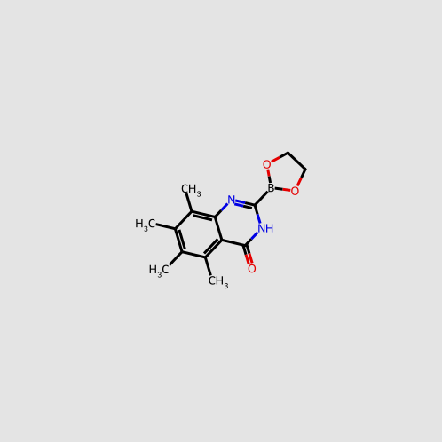 Cc1c(C)c(C)c2c(=O)[nH]c(B3OCCO3)nc2c1C